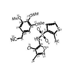 CC(=O)c1sccc1S(=O)(=O)Nc1onc(C)c1Cl.COc1cc(CC#N)cc(OC)c1OC